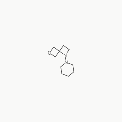 C1CCN(N2CCC23COC3)CC1